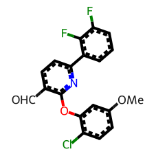 COc1ccc(Cl)c(Oc2nc(-c3cccc(F)c3F)ccc2C=O)c1